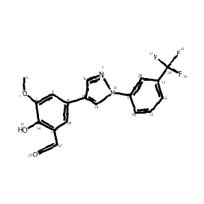 COc1cc(-c2cnn(-c3cccc(C(F)(F)F)c3)c2)cc(C=O)c1O